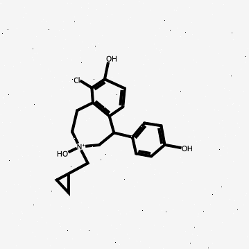 Oc1ccc(C2C[N+](O)(CC3CC3)CCc3c2ccc(O)c3Cl)cc1